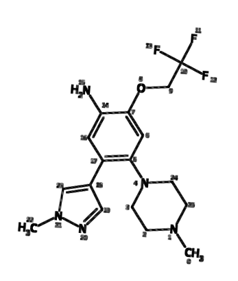 CN1CCN(c2cc(OCC(F)(F)F)c(N)cc2-c2cnn(C)c2)CC1